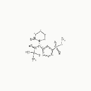 CC1(C)Oc2ccc(S(=O)(=O)CC(F)(F)F)cc2[C@@H](N2CCCCC2=O)[C@@H]1O